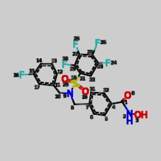 O=C(NO)c1ccc(CN(Cc2cccc(F)c2)S(=O)(=O)c2cc(F)c(F)c(F)c2F)cc1